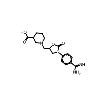 N=C(N)c1ccc(N2CC(CN3CCCC(C(=O)O)C3)OC2=O)cc1